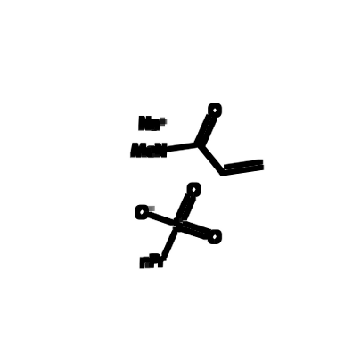 C=CC(=O)NC.CCCS(=O)(=O)[O-].[Na+]